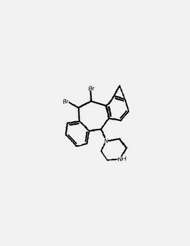 BrC1c2ccccc2C(N2CCNCC2)c2ccc3c(c2C1Br)C3